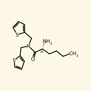 CCCC[C@@H](N)C(=O)N(Cc1cccs1)Cc1cccs1